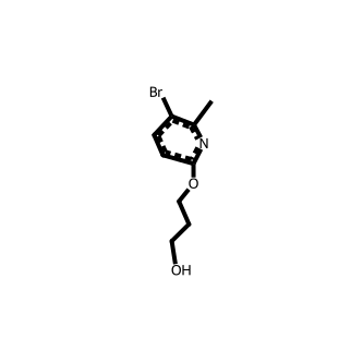 Cc1nc(OCCCO)ccc1Br